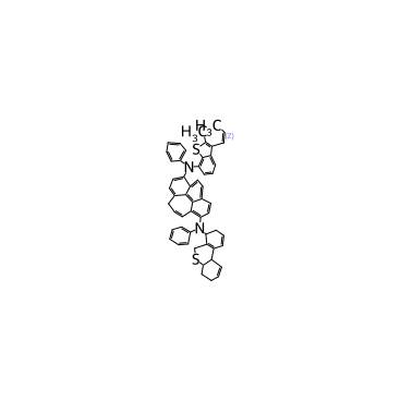 C/C=C\c1c(C)sc2c(N(c3ccccc3)c3ccc4c5c3ccc3ccc(N(c6ccccc6)C6CC=CC7=C6CSC6CCC=CC76)c(c35)C=CC4)cccc12